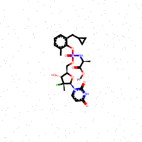 Cc1cccc(CC2CC2)c1OP(=O)(N[C@@H](C)C(=O)OC(C)C)OC[C@H]1O[C@@H](n2ccc(=O)[nH]c2=O)[C@](C)(F)[C@@H]1O